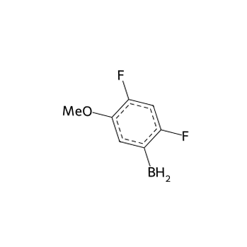 Bc1cc(OC)c(F)cc1F